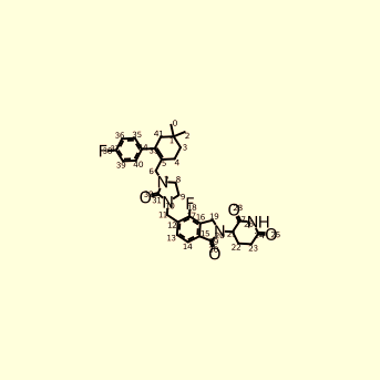 CC1(C)CCC(CN2CCN(Cc3ccc4c(c3F)CN(C3CCC(=O)NC3=O)C4=O)C2=O)=C(c2ccc(F)cc2)C1